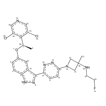 C[C@@H](Oc1ccc2[nH]nc(-c3ccc(N4CC(C)(NCCF)C4)nn3)c2c1)c1c(Cl)cncc1Cl